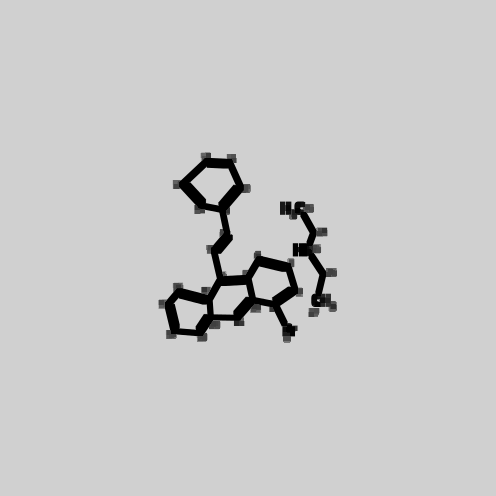 Brc1cccc2c(C=Cc3ccccc3)c3ccccc3cc12.CCNCC